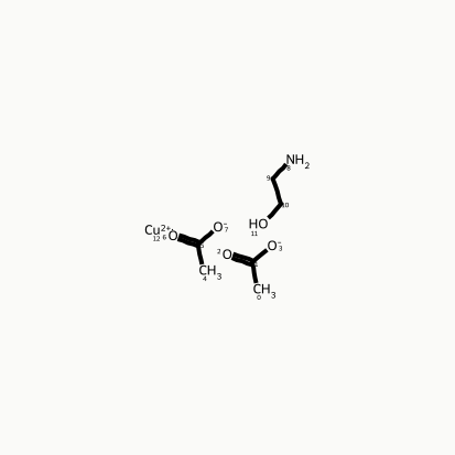 CC(=O)[O-].CC(=O)[O-].NCCO.[Cu+2]